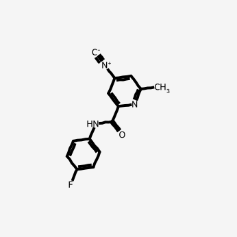 [C-]#[N+]c1cc(C)nc(C(=O)Nc2ccc(F)cc2)c1